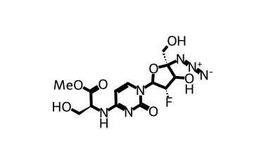 COC(=O)[C@H](CO)Nc1ccn(C2O[C@@](CO)(N=[N+]=[N-])C(O)[C@@H]2F)c(=O)n1